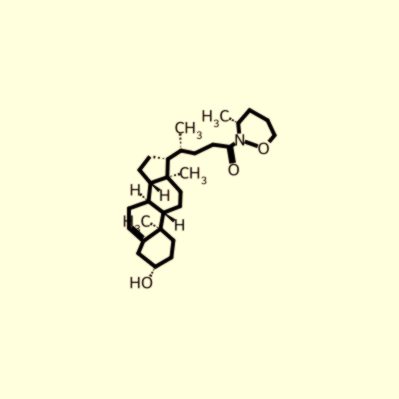 C[C@H](CCC(=O)N1OCCC[C@H]1C)[C@H]1CC[C@H]2[C@@H]3CC=C4C[C@@H](O)CC[C@]4(C)[C@H]3CC[C@]12C